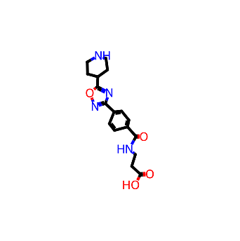 O=C(O)CCNC(=O)c1ccc(-c2noc(C3CCNCC3)n2)cc1